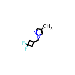 Cc1cnn(CC2CC(F)(F)C2)c1